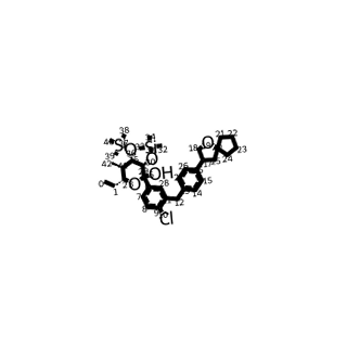 CC[C@H]1OC(O)(c2ccc(Cl)c(Cc3ccc(C4COC5(CCCC5)C4)cc3)c2)[C@H](O[Si](C)(C)C)[C@@H](O[Si](C)(C)C)[C@@H]1C